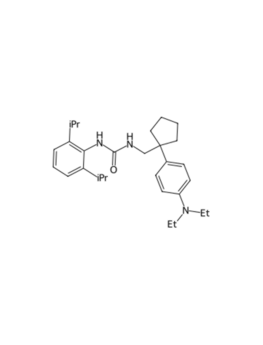 CCN(CC)c1ccc(C2(CNC(=O)Nc3c(C(C)C)cccc3C(C)C)CCCC2)cc1